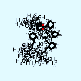 C[Si](C)(C)O[Si](C)(C)O[Si](C)(CCCc1ccccc1OP1(Oc2ccccc2)=NP(Oc2ccccc2)(Oc2ccccc2CCC[Si](C)(O[Si](C)(C)C)O[Si](C)(C)O[Si](C)(C)C)=NP(Oc2ccccc2)(Oc2ccccc2CCC[Si](C)(O[Si](C)(C)C)O[Si](C)(C)O[Si](C)(C)C)=N1)O[Si](C)(C)C